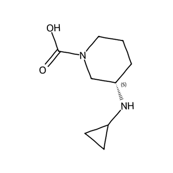 O=C(O)N1CCC[C@H](NC2CC2)C1